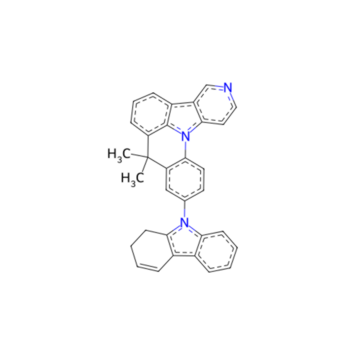 CC1(C)c2cc(-n3c4c(c5ccccc53)C=CCC4)ccc2-n2c3ccncc3c3cccc1c32